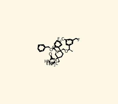 CCOC(=O)C[C@]1(n2cn[nH]c2=O)CC[C@@](CO[C@H](C)c2cc(CF)cc(C(F)(F)F)c2)(c2ccccc2)N(C(=O)OCc2ccccc2)C1